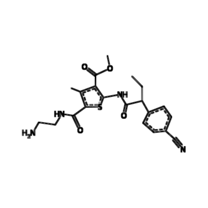 CCC(C(=O)Nc1sc(C(=O)NCCN)c(C)c1C(=O)OC)c1ccc(C#N)cc1